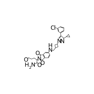 NC(=O)C(CCC=O)N1C(=O)c2ccc(NCC3CC(n4cc(-c5cccc(Cl)c5)c(C5CC5)n4)C3)cc2C1=O